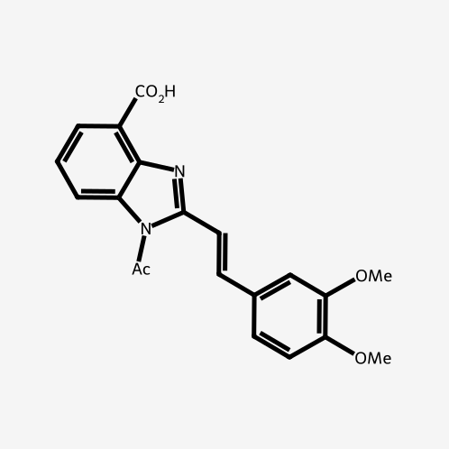 COc1ccc(/C=C/c2nc3c(C(=O)O)cccc3n2C(C)=O)cc1OC